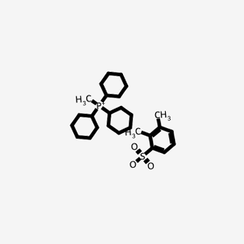 C[P+](C1CCCCC1)(C1CCCCC1)C1CCCCC1.Cc1cccc(S(=O)(=O)[O-])c1C